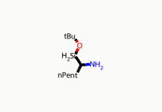 CCCCCC(N)[SiH2]OC(C)(C)C